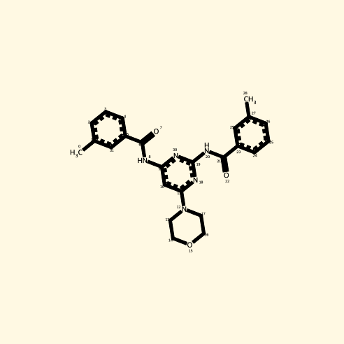 Cc1cccc(C(=O)Nc2cc(N3CCOCC3)nc(NC(=O)c3cccc(C)c3)n2)c1